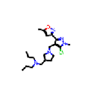 CCCN(CCC)CC1CCN(Cc2c(-c3cc(C)on3)nn(C)c2Cl)C1